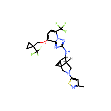 Cc1cc(N2C[C@H]3[C@H](Nc4nc5c(OCC6(C(F)(F)F)CC6)ccc(C(F)(F)F)n5n4)C4=CC43C2)sn1